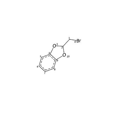 BrCC1Oc2ccccc2O1